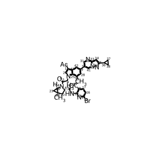 CC(=O)c1cn(CC(=O)N2[C@H](C(=O)Nc3nc(Br)ccc3C)C[C@@]3(C)C[C@@H]23)c2c(C)cc(-c3cnc4cc(C5CC5)nn4c3)cc12